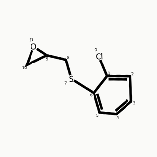 Clc1ccccc1SCC1CO1